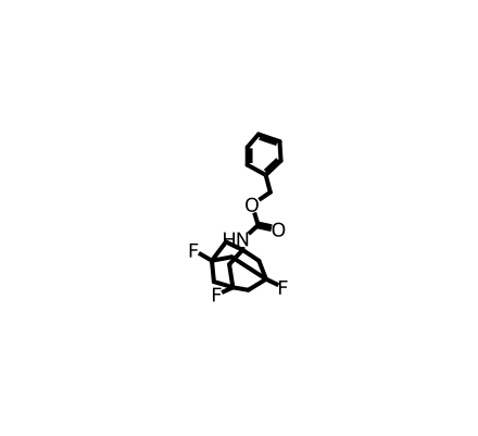 O=C(NC12CC3(F)CC(F)(CC(F)(C3)C1)C2)OCc1ccccc1